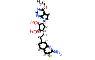 COc1ncnc2c1ccn2[C@@H]1C[C@H](CCc2ccc3cc(F)c(N)nc3c2)[C@@H](O)[C@H]1O